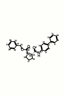 O=C(Nc1ccc(-c2ccccc2)cc1)[C@@H]1CCCN1C(=O)OCc1ccccc1